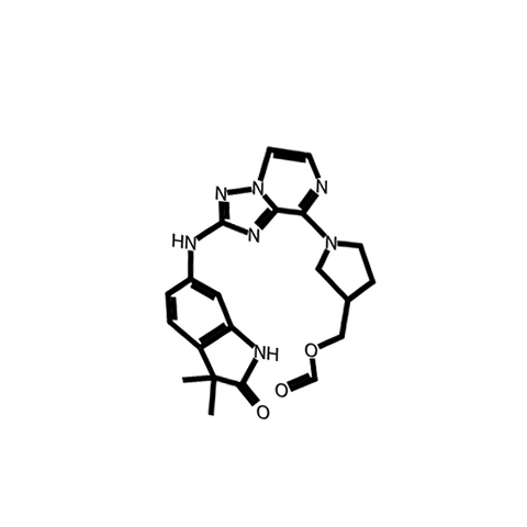 CC1(C)C(=O)Nc2cc(Nc3nc4c(N5CCC(COC=O)C5)nccn4n3)ccc21